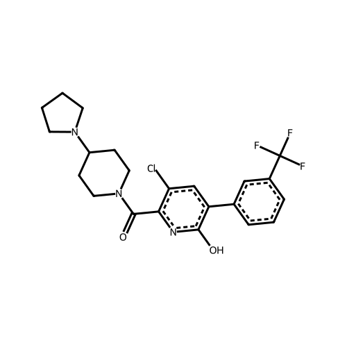 O=C(c1nc(O)c(-c2cccc(C(F)(F)F)c2)cc1Cl)N1CCC(N2CCCC2)CC1